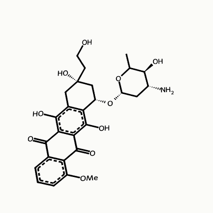 COc1cccc2c1C(=O)c1c(O)c3c(c(O)c1C2=O)C[C@@](O)(CCO)C[C@@H]3O[C@H]1C[C@@H](N)[C@H](O)C(C)O1